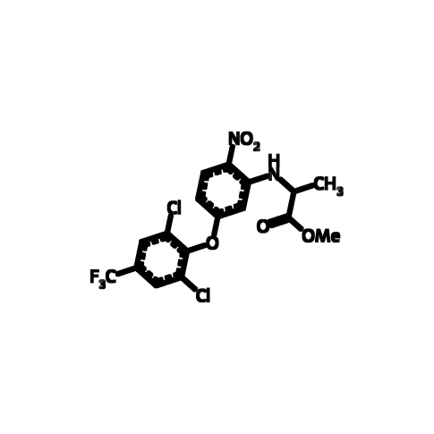 COC(=O)C(C)Nc1cc(Oc2c(Cl)cc(C(F)(F)F)cc2Cl)ccc1[N+](=O)[O-]